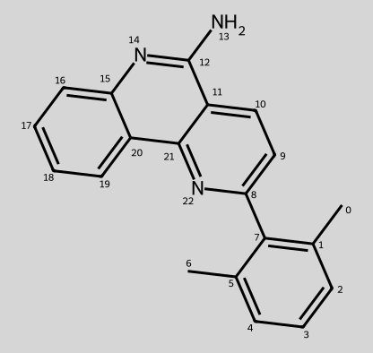 Cc1cccc(C)c1-c1ccc2c(N)nc3ccccc3c2n1